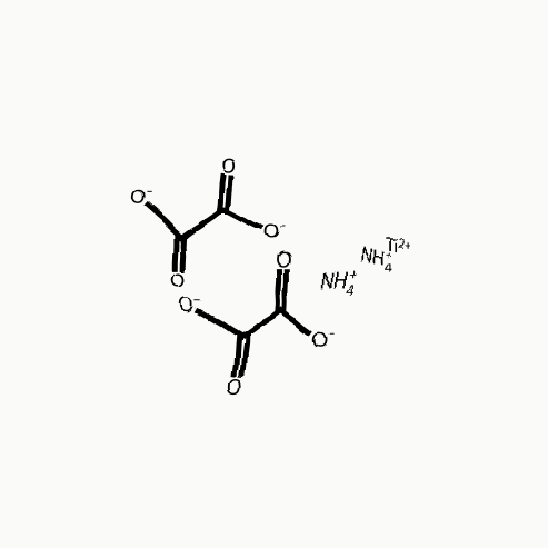 O=C([O-])C(=O)[O-].O=C([O-])C(=O)[O-].[NH4+].[NH4+].[Ti+2]